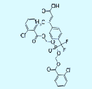 CC(=CC(=O)O)c1ccc(C(F)(F)P(=O)(OCOC(=O)c2ccccc2Cl)OCOC(=O)c2ccccc2Cl)cc1